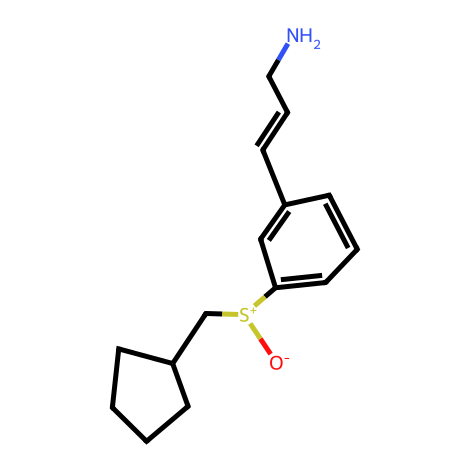 NCC=Cc1cccc([S+]([O-])CC2CCCC2)c1